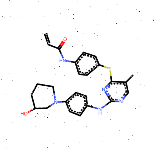 C=CC(=O)Nc1ccc(Sc2nc(Nc3ccc(N4CCCC(O)C4)cc3)ncc2C)cc1